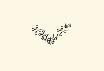 O.O.O.O.O.O.O.O.O=S(=O)([O-])[O-].O=S(=O)([O-])[O-].O=S(=O)([O-])[O-].[Nd+3].[Nd+3]